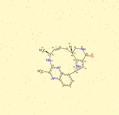 Cc1nc2cccc3c2nc1N[C@@H](C)/C=C\C[C@@H]1CNC(=O)c2cc-3[nH]c21